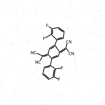 N#CC(C#N)=c1cc(-c2cccc(F)c2F)c(=C(C#N)C#N)cc1-c1cccc(F)c1F